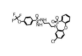 N=S(=O)(NCCCN1c2cc(Cl)ccc2Oc2ccccc2S1(=O)=O)c1ccc(OC(F)(F)F)cc1